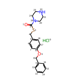 Cl.O=C(SCc1ccc(OCc2ccccc2)cc1)N1CCNCC1